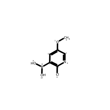 COc1cnc(Cl)c(B(O)O)c1